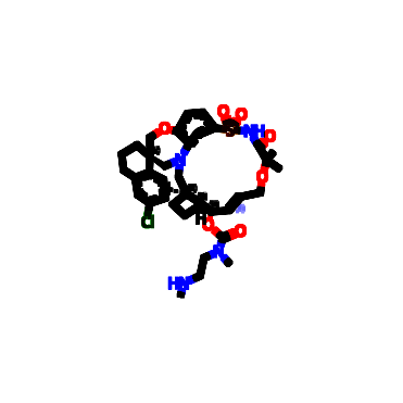 CNCCN(C)C(=O)O[C@H]1/C=C/COC(C)(C)C(=O)NS(=O)(=O)c2ccc3c(c2)N(C[C@@H]2CC[C@H]21)C[C@@]1(CCCc2cc(Cl)ccc21)CO3